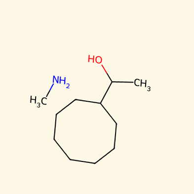 CC(O)C1CCCCCCC1.CN